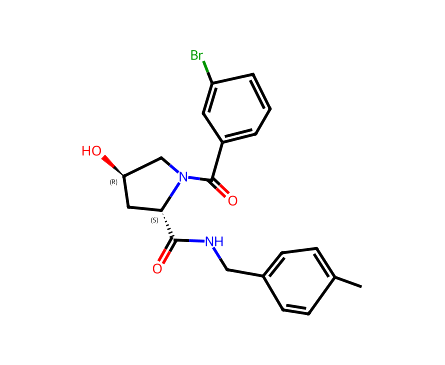 Cc1ccc(CNC(=O)[C@@H]2C[C@@H](O)CN2C(=O)c2cccc(Br)c2)cc1